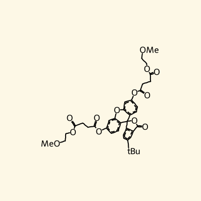 COCCOC(=O)CCC(=O)Oc1ccc2c(c1)Oc1cc(OC(=O)CCC(=O)OCCOC)ccc1C21OC(=O)c2cc(C(C)(C)C)ccc21